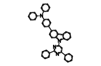 c1ccc(-c2cc(-n3c4ccccc4c4cc(-c5ccc(N(c6ccccc6)c6ccccc6)cc5)ccc43)nc(-c3ccccc3)n2)cc1